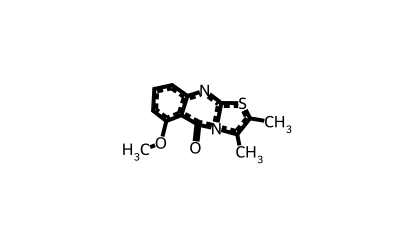 COc1cccc2nc3sc(C)c(C)n3c(=O)c12